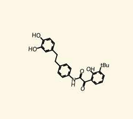 CC(C)(C)c1cccc(C(=O)C(=O)Nc2ccc(CCc3ccc(O)c(O)c3)cc2)c1O